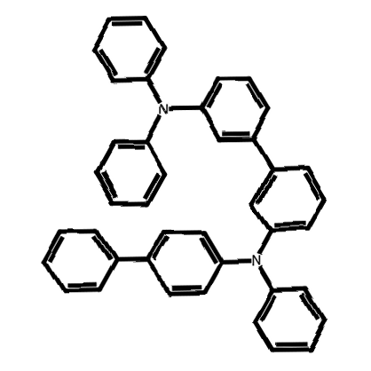 c1ccc(-c2ccc(N(c3ccccc3)c3cccc(-c4cccc(N(c5ccccc5)c5ccccc5)c4)c3)cc2)cc1